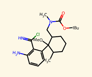 COC1(c2cccc(N)c2C(=N)Cl)C(C)CCCC1CN(C)C(=O)OC(C)(C)C